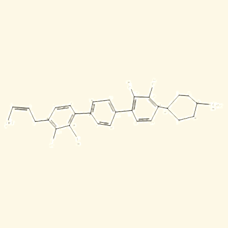 CCC/C=C\Cc1ccc(-c2ccc(-c3ccc(C4CCC(CCCCCCCCCC)CC4)c(F)c3F)cc2)c(F)c1F